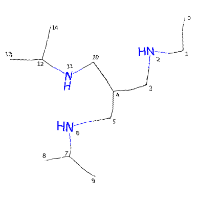 CCNCC(CNC(C)C)CNC(C)C